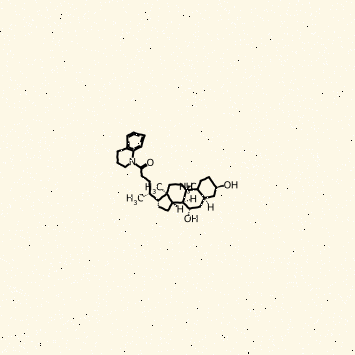 C[C@H](CCC(=O)N1CCCc2ccccc21)[C@H]1CC[C@H]2[C@@H]3[C@@H](O)C[C@@H]4C[C@H](O)CC[C@]4(C)[C@H]3CC[C@]12C